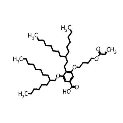 C=CC(=O)OCCCCOc1cc(C(=O)O)cc(OCC(CCCCCC)CCCCCCCC)c1CCC(CCCCCC)CCCCCCCC